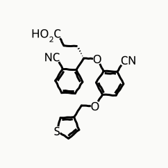 N#Cc1ccc(OCc2ccsc2)cc1O[C@@H](CCC(=O)O)c1ccccc1C#N